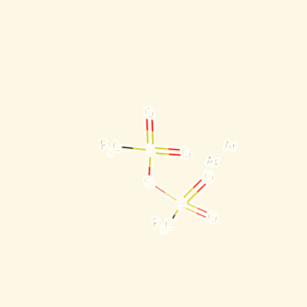 O=S(=O)(OS(=O)(=O)C(F)(F)F)C(F)(F)F.[Ar].[Ar]